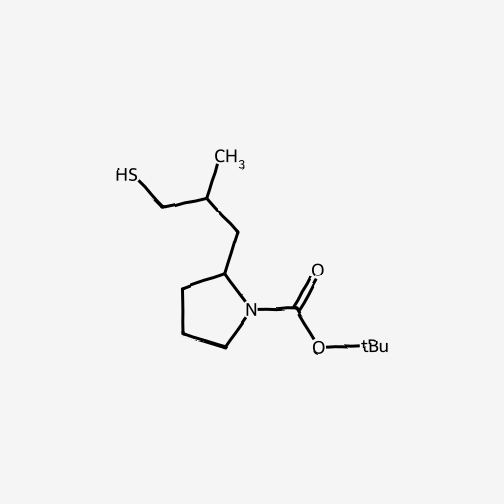 CC(CS)CC1CCCN1C(=O)OC(C)(C)C